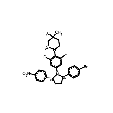 CC1(C)CCN(c2c(F)cc(N3[C@@H](c4ccc(Br)cc4)CC[C@@H]3c3ccc([N+](=O)[O-])cc3)cc2F)[SiH2]C1